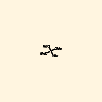 CCC[CH][Si](OC)(OC)OC